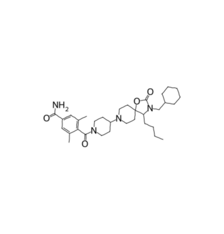 CCCCC1N(CC2CCCCC2)C(=O)OC12CCN(C1CCN(C(=O)c3c(C)cc(C(N)=O)cc3C)CC1)CC2